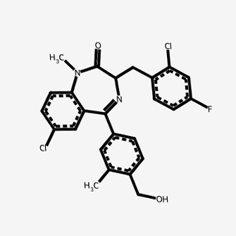 Cc1cc(C2=NC(Cc3ccc(F)cc3Cl)C(=O)N(C)c3ccc(Cl)cc32)ccc1CO